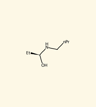 CCCCN[C@@H](O)CC